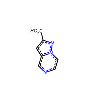 O=C(O)c1cc2cnccn2n1